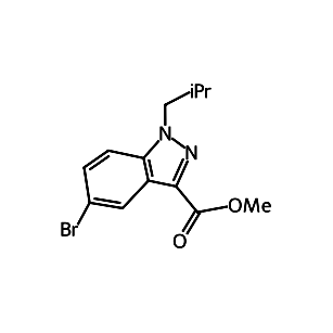 COC(=O)c1nn(CC(C)C)c2ccc(Br)cc12